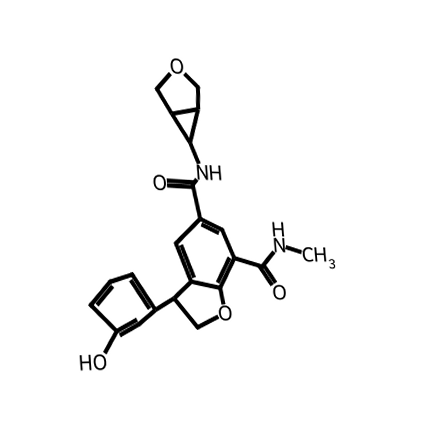 CNC(=O)c1cc(C(=O)NC2C3COCC32)cc2c1OCC2c1cccc(O)c1